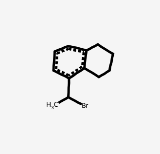 CC(Br)c1cccc2c1CCCC2